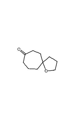 O=C1CCCC2(CCCO2)CC1